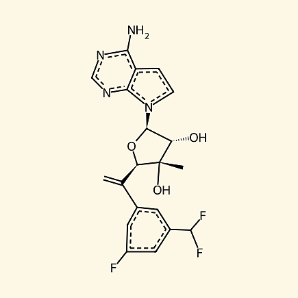 C=C(c1cc(F)cc(C(F)F)c1)[C@H]1O[C@@H](n2ccc3c(N)ncnc32)[C@H](O)[C@]1(C)O